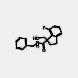 O=C(NCc1ccccc1)C1(CO)CCc2cccc(F)c21